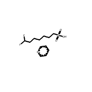 O=S(=O)(O)CCCCCCC(F)F.c1ccncc1